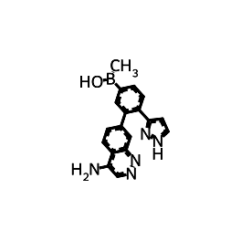 CB(O)c1ccc(-c2cc[nH]n2)c(-c2ccc3c(N)cnnc3c2)c1